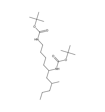 CCCC(C)CC(CCCCNC(=O)OC(C)(C)C)NC(=O)OC(C)(C)C